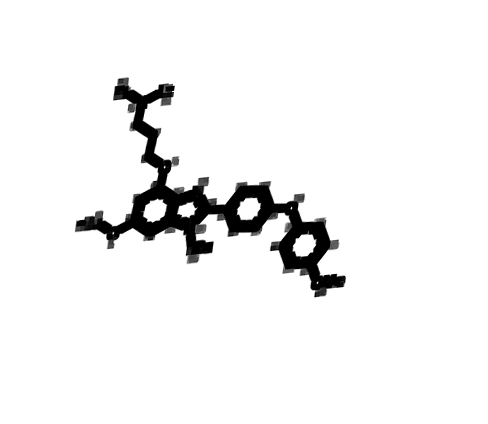 CCCCOc1cc(OCCCN(CC)CC)c2nc(-c3ccc(Oc4ccc(OC)cc4)cc3)n(CCCC)c2c1